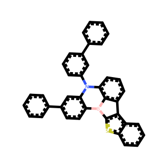 c1ccc(-c2cccc(N3c4cc(-c5ccccc5)ccc4B4c5sc6ccccc6c5-c5cccc3c54)c2)cc1